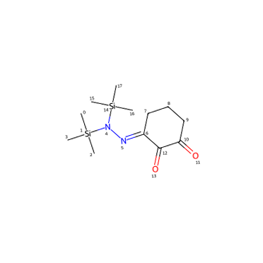 C[Si](C)(C)N(N=C1CCCC(=O)C1=O)[Si](C)(C)C